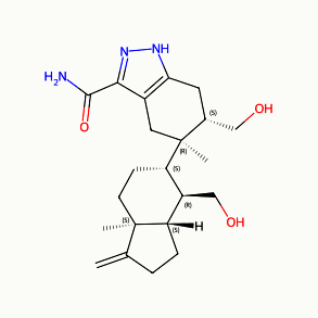 C=C1CC[C@H]2[C@H](CO)[C@@H]([C@@]3(C)Cc4c(C(N)=O)n[nH]c4C[C@@H]3CO)CC[C@]12C